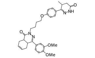 COc1ccc(C2=NN(CCCCOc3ccc(C4=NNC(=O)CC4C)cc3)C(=O)C3CC=CCC23)cc1OC